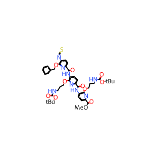 COC(=O)c1ccc(NC(=O)c2ccc(NC(=O)c3ccc(N=C=S)c(OCc4ccccc4)n3)c(OCCCNC(=O)OC(C)(C)C)n2)c(OCCCNC(=O)OC(C)(C)C)n1